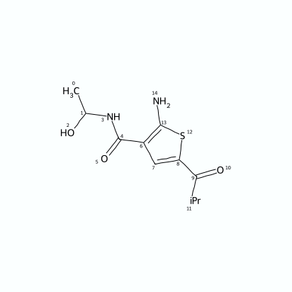 CC(O)NC(=O)c1cc(C(=O)C(C)C)sc1N